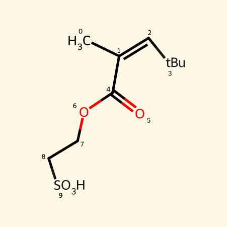 C/C(=C/C(C)(C)C)C(=O)OCCS(=O)(=O)O